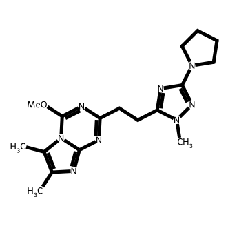 COc1nc(CCc2nc(N3CCCC3)nn2C)nc2nc(C)c(C)n12